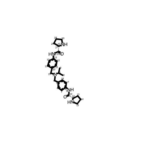 CC(C)N(Cc1ccc(NC(=O)[C@@H]2CCCN2)cc1)Cc1ccc(NC(=O)[C@@H]2CCCN2)cc1